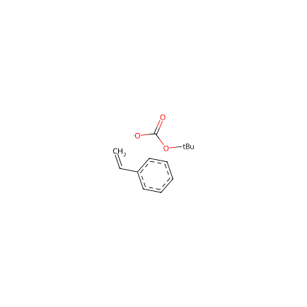 C=Cc1ccccc1.CC(C)(C)OC([O])=O